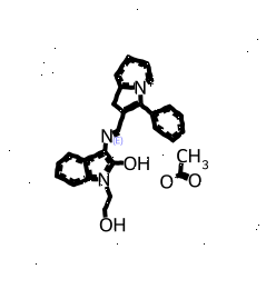 CC(=O)[O-].OCCn1c(O)c(/N=C/C2=C(c3ccccc3)[n+]3ccccc3C2)c2ccccc21